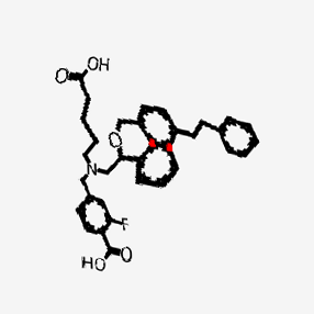 O=C(O)CCCCN(Cc1ccc(C(=O)O)c(F)c1)CC(OCc1ccc(CCc2ccccc2)cc1)c1ccccc1